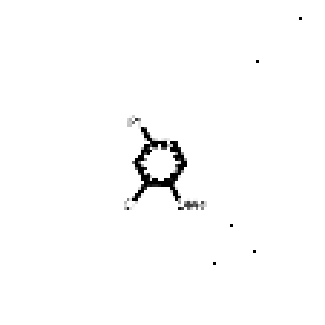 CCCc1ccc(OC)c(Cl)c1